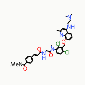 CNC(=O)c1ccc(C=CC(=O)NCC(=O)N(C)c2ccc(Cl)c(COc3cccc4c(NCCN(C)C)cc(C)nc34)c2Cl)cc1